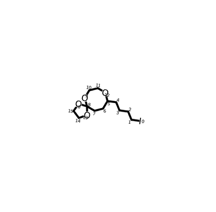 ICCCCC1CCC2(OCCO1)OCCO2